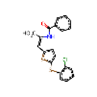 O=C(O)C(=Cc1ccc(Sc2ccccc2Cl)s1)NC(=O)c1ccccc1